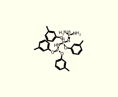 Cc1cccc(OP(N[PH](N=[PH](N)N)(Oc2cccc(C)c2)Oc2cccc(C)c2)Oc2cccc(C)c2)c1